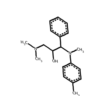 Cc1ccc(N(C)C(c2ccccc2)C(O)CN(C)C)cc1